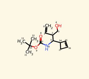 C=CC(CO)C(NC(=O)OC(C)(C)C)C1C=CC1